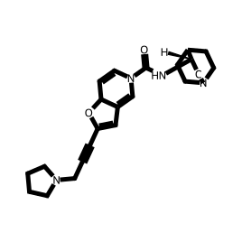 O=C(N[C@H]1CN2CCC1CC2)N1C=CC2OC(C#CCN3CCCC3)=CC2=C1